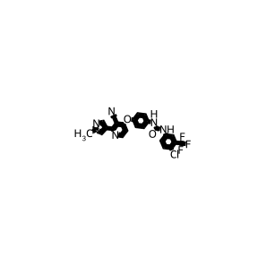 Cn1cc(-c2nccc(Oc3ccc(NC(=O)Nc4ccc(Cl)c(C(F)(F)F)c4)cc3)c2C#N)cn1